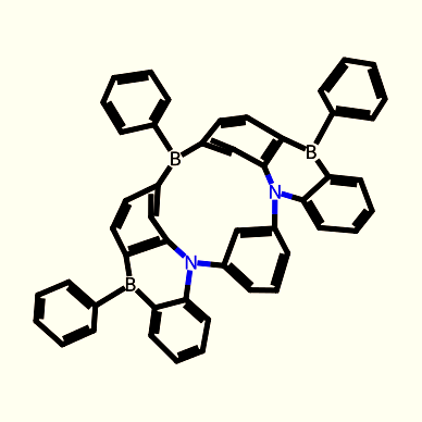 c1ccc(B2c3ccc4c(c3)N(c3cccc(c3)N3c5ccccc5B(c5ccccc5)c5ccc2cc53)c2ccccc2B4c2ccccc2)cc1